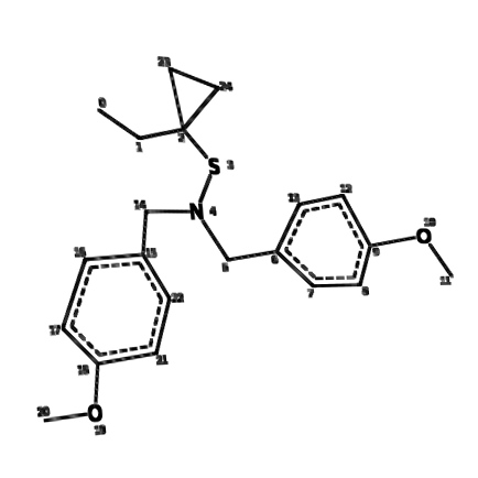 CCC1(SN(Cc2ccc(OC)cc2)Cc2ccc(OC)cc2)CC1